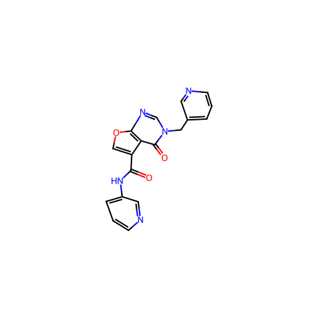 O=C(Nc1cccnc1)c1coc2ncn(Cc3cccnc3)c(=O)c12